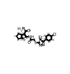 CCn1c(SCC(=O)Nc2sc3c(c2C(N)=O)CCC3)nnc1-c1ccc(Cl)cc1